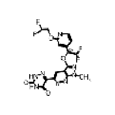 Cn1nc(O[C@@H](c2ccnc(OCC(F)F)c2)C(F)F)c2cc(-c3n[nH]c(=O)[nH]c3=O)nnc21